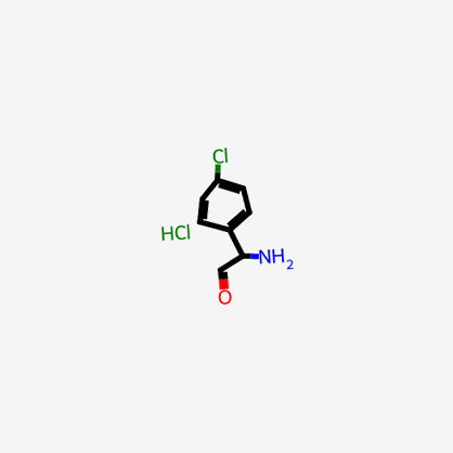 Cl.NC(C=O)c1ccc(Cl)cc1